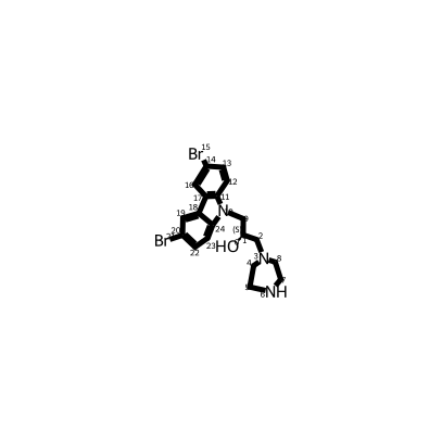 O[C@@H](CN1CCNCC1)Cn1c2ccc(Br)cc2c2cc(Br)ccc21